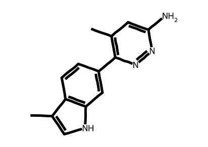 Cc1cc(N)nnc1-c1ccc2c(C)c[nH]c2c1